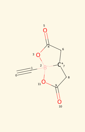 C#C[B-]12OC(=O)C[C+]1CC(=O)O2